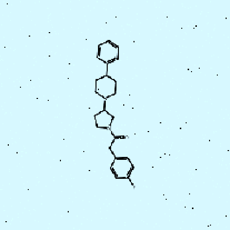 O=C(Cc1ccc(F)cc1)N1CCC(N2CCC(c3ccccc3)CC2)C1